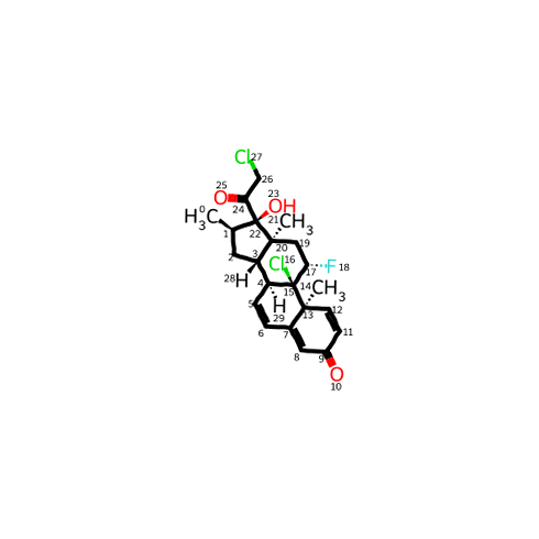 C[C@@H]1C[C@H]2[C@@H]3C=CC4=CC(=O)C=C[C@]4(C)[C@@]3(Cl)[C@@H](F)C[C@]2(C)[C@@]1(O)C(=O)CCl